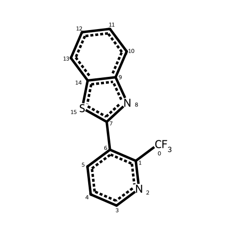 FC(F)(F)c1ncccc1-c1nc2[c]cccc2s1